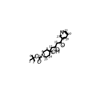 CC(C)(C)OC(=O)N1CCC(O)(CC(=O)CC(=O)c2cccnc2)CC1